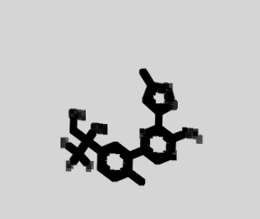 Cc1cc(-c2nc(-c3cc(C(O)(CO)C(F)(F)F)ccc3C)cnc2N)on1